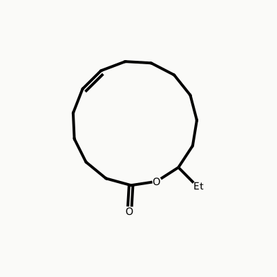 CCC1CCCCCC/C=C\CCCCC(=O)O1